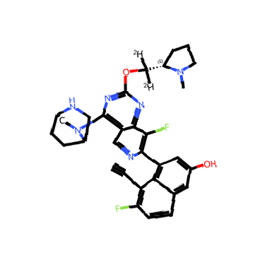 [2H]C([2H])(Oc1nc(N2CC3CCC2CN3)c2cnc(-c3cc(O)cc4ccc(F)c(C#C)c34)c(F)c2n1)[C@@H]1CCCN1C